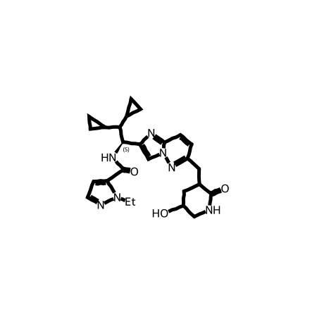 CCn1nccc1C(=O)N[C@H](c1cn2nc(CC3CC(O)CNC3=O)ccc2n1)C(C1CC1)C1CC1